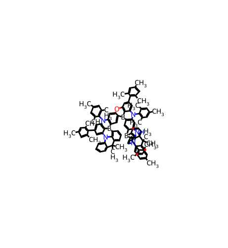 Cc1cc(C)c(-c2cc3c4c(c2)N2c5ccccc5C(C)(C)c5cccc(c52)B4c2cc4c(cc2N3)N(c2c(C)cc(C)cc2C)c2cc(-c3c(C)cc(C)cc3C)cc3c2B4c2cc4c(cc2O3)N(c2c(C)cc(C)cc2C)c2cc(-c3c(C)cc(C)cc3C)cc3c2B4c2cccc4c2N3c2ccccc2C4(C)C)c(C)c1